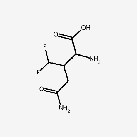 NC(=O)CC(C(F)F)C(N)C(=O)O